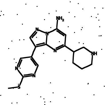 CSc1ncc(-c2cnn3c(N)cc(C4CCCNC4)nc23)cn1